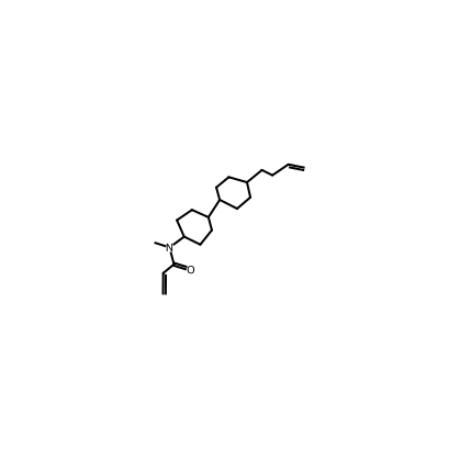 C=CCCC1CCC(C2CCC(N(C)C(=O)C=C)CC2)CC1